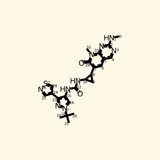 CNc1ncc2cc(C3CC3NC(=O)Nc3cn(C(C)(C)C)nc3-c3cnsc3)c(=O)n(C)c2n1